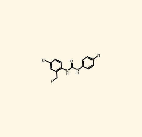 O=C(Nc1ccc(Cl)cc1)Nc1ccc(Cl)cc1CF